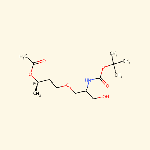 CC(=O)O[C@H](C)CCOCC(CO)NC(=O)OC(C)(C)C